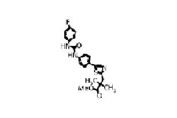 COC(=O)C(C)(C)Cc1ncc(-c2ccc(NC(=O)Nc3ccc(F)cc3)cc2)s1